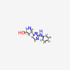 Oc1cncc(-c2ccnc(Nc3ccccc3)n2)c1